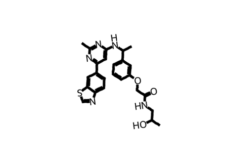 Cc1nc(NC(C)c2cccc(OCC(=O)NCC(C)O)c2)cc(-c2ccc3ncsc3c2)n1